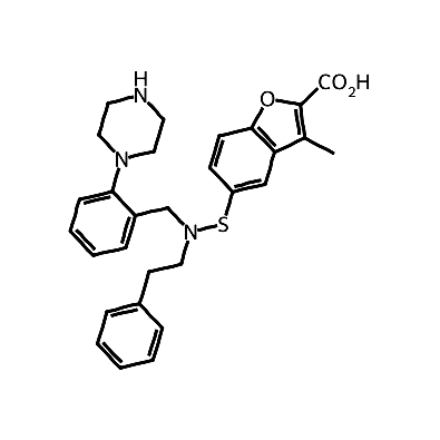 Cc1c(C(=O)O)oc2ccc(SN(CCc3ccccc3)Cc3ccccc3N3CCNCC3)cc12